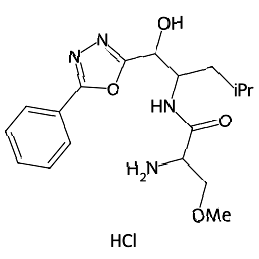 COCC(N)C(=O)NC(CC(C)C)C(O)c1nnc(-c2ccccc2)o1.Cl